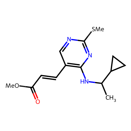 COC(=O)/C=C/c1cnc(SC)nc1NC(C)C1CC1